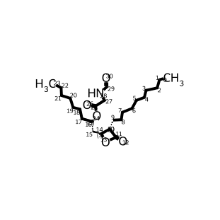 CCCCCCCCCC[C@@H]1C(=O)O[C@H]1C[C@H](CCCCCCC)OC(=O)CNC=O